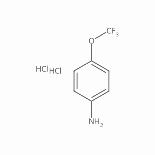 Cl.Cl.Nc1ccc(OC(F)(F)F)cc1